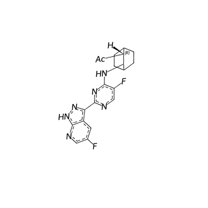 CC(=O)[C@@H]1C2CCC(CC2)C1Nc1nc(-c2n[nH]c3ncc(F)cc23)ncc1F